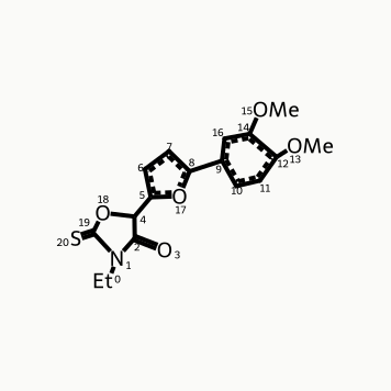 CCN1C(=O)C(c2ccc(-c3ccc(OC)c(OC)c3)o2)OC1=S